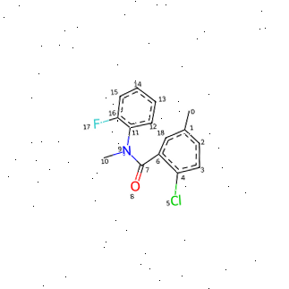 Cc1ccc(Cl)c(C(=O)N(C)c2ccccc2F)c1